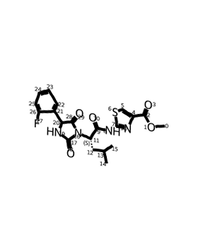 COC(=O)c1csc(NC(=O)[C@H](CC(C)C)N2C(=O)NC(c3ccccc3F)C2=O)n1